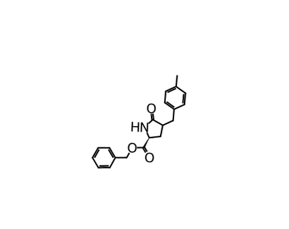 Cc1ccc(CC2C[C@@H](C(=O)OCc3ccccc3)NC2=O)cc1